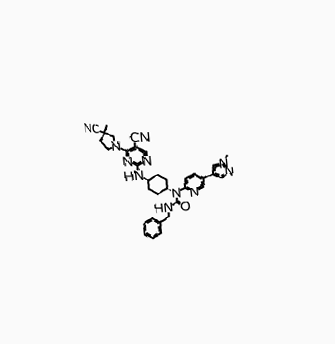 Cn1cc(-c2ccc(N(C(=O)NCc3ccccc3)[C@H]3CC[C@H](Nc4ncc(C#N)c(N5CCC(C)(C#N)C5)n4)CC3)nc2)cn1